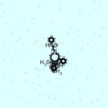 CC[C@]12CCCN(/C=C/C(=O)Nc3ccccc3)CCc3c(n(c4ccccc34)[C@@](O)(C(=O)OC)C1)[C@@H]2Oc1ccccc1